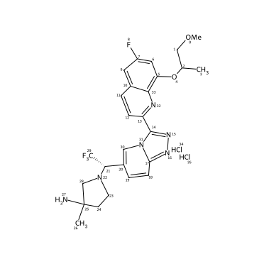 COCC(C)Oc1cc(F)cc2ccc(-c3nnc4ccc([C@H](N5CCC(C)(N)C5)C(F)(F)F)cn34)nc12.Cl.Cl